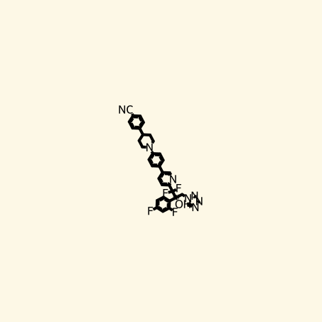 N#Cc1ccc(C2CCN(c3ccc(-c4ccc(C(F)(F)[C@](O)(Cn5cnnn5)c5ccc(F)cc5F)nc4)cc3)CC2)cc1